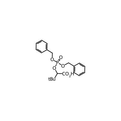 CC(C)(C)C(OP(=O)(OCc1ccccc1)OCc1ccccc1)C(=O)O